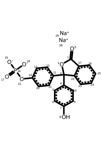 O=C1OC(c2ccc(O)cc2)(c2ccc(OP(=O)([O-])[O-])cc2)c2ccccc21.[Na+].[Na+]